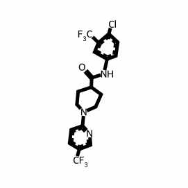 O=C(Nc1ccc(Cl)c(C(F)(F)F)c1)C1CCN(c2ccc(C(F)(F)F)cn2)CC1